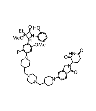 CC[C@@]1(OC)C(=O)N(c2ccccc2O)[C@H]1c1cc(F)c(N2CCC(CN3CCN(CC4CCN(c5ccc6c(c5)CN(C5CCC(=O)NC5=O)C6=O)CC4)CC3)CC2)cc1OC